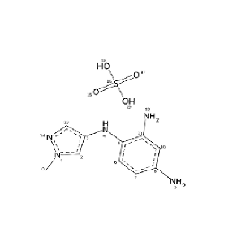 Cn1cc(Nc2ccc(N)cc2N)cn1.O=S(=O)(O)O